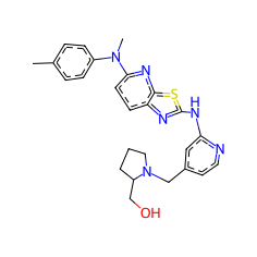 Cc1ccc(N(C)c2ccc3nc(Nc4cc(CN5CCCC5CO)ccn4)sc3n2)cc1